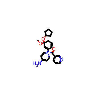 COC1(OC2CCCC2)C=C([N+]2(C(=O)c3cccnc3)C=CC(N)=CC2)C=CC1